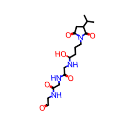 CC(C)C1CC(=O)N(CCCC(O)NCC(=O)NCC(=O)NCC=O)C1=O